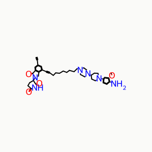 C#Cc1cc(C#CCCCCCCCCN2CCN(C3CCN(c4ccc(N)c(OC)c4)CC3)CC2)c2c(c1)C(=O)N(C1CCC(=O)NC1=O)C2